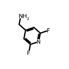 NCc1cc(F)nc(F)c1